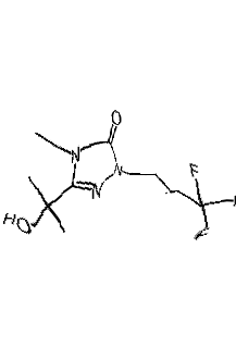 Cn1c(C(C)(C)O)nn(C[CH]C(F)(F)F)c1=O